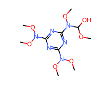 COC(O)N(OC)c1nc(N(OC)OC)nc(N(OC)OC)n1